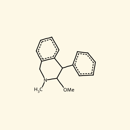 COC1C(c2ccccc2)c2ccccc2CN1C